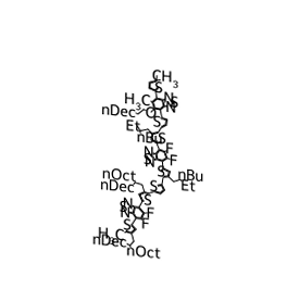 CCCCCCCCCCCCOc1c(C)c(-c2ccc(C)s2)c2nsnc2c1-c1ccc(-c2sc(-c3c(F)c(F)c(-c4cc(CC(CC)CCCC)c(-c5ccc(-c6sc(-c7c(F)c(F)c(-c8cc(CC(CCCCCCCC)CCCCCCCCCC)c(C)s8)c8nsnc78)cc6CC(CCCCCCCC)CCCCCCCCCC)s5)s4)c4nsnc34)cc2CC(CC)CCCC)s1